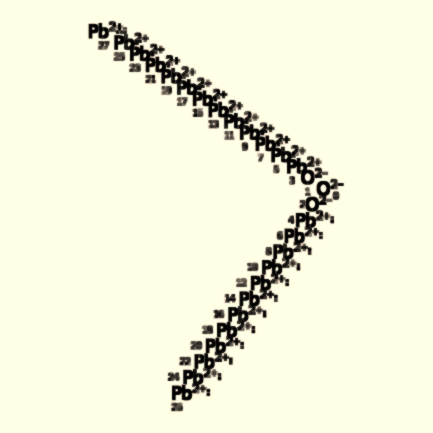 [O-2].[O-2].[O-2].[Pb+2].[Pb+2].[Pb+2].[Pb+2].[Pb+2].[Pb+2].[Pb+2].[Pb+2].[Pb+2].[Pb+2].[Pb+2].[Pb+2].[Pb+2].[Pb+2].[Pb+2].[Pb+2].[Pb+2].[Pb+2].[Pb+2].[Pb+2].[Pb+2].[Pb+2].[Pb+2].[Pb+2].[Pb+2]